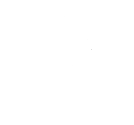 COc1ccc(C2(c3ccc(C)cc3)C=Cc3c4c(c5cc(N6CCCCC6)c(OC)cc5c3O2)-c2ccc(-c3ccc(C(F)(F)F)cc3)cc2C4(C)C)cc1